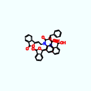 O=C1OC(=CCN(C(=O)C(=Cc2ccccc2)C(=O)N(CC=C2OC(=O)c3ccccc32)c2ccccc2C(=O)O)c2ccccc2C(=O)O)c2ccccc21